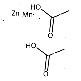 CC(=O)O.CC(=O)O.[Mn].[Zn]